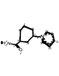 NC(=O)C1CCCC([n+]2ccccc2)C1